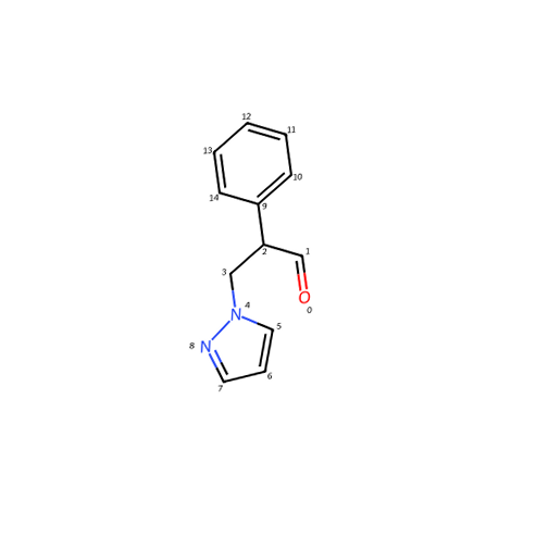 O=CC(Cn1cccn1)c1ccccc1